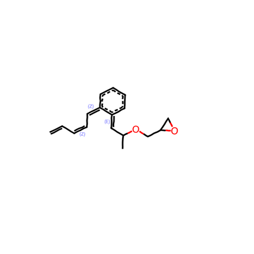 C=C\C=C/C=c1/cccc/c1=C\C(C)OCC1CO1